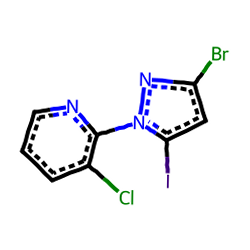 Clc1cccnc1-n1nc(Br)cc1I